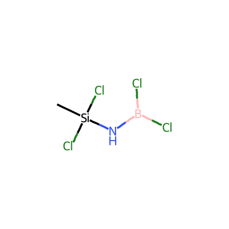 C[Si](Cl)(Cl)NB(Cl)Cl